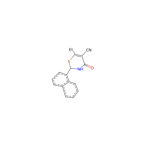 CCC1=C(C#N)C(=O)NC(c2cccc3ccccc23)S1